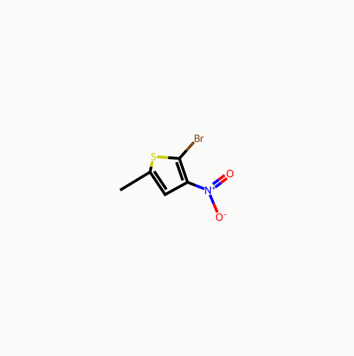 Cc1cc([N+](=O)[O-])c(Br)s1